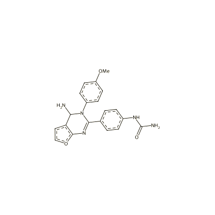 COc1ccc(N2C(c3ccc(NC(N)=O)cc3)=Nc3occc3C2N)cc1